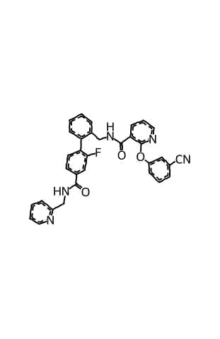 N#Cc1cccc(Oc2ncccc2C(=O)NCc2ccccc2-c2ccc(C(=O)NCc3ccccn3)cc2F)c1